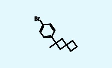 CC1(c2ccc(Br)cc2)CC2(CCC2)C1